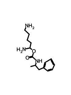 CC(Cc1ccccc1)NC(=O)OC(N)CCCCN